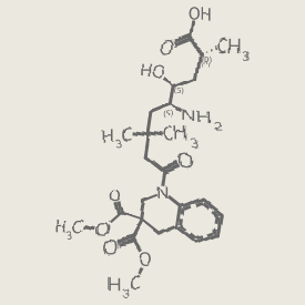 COC(=O)C1(C(=O)OC)Cc2ccccc2N(C(=O)CC(C)(C)C[C@H](N)[C@@H](O)C[C@@H](C)C(=O)O)C1